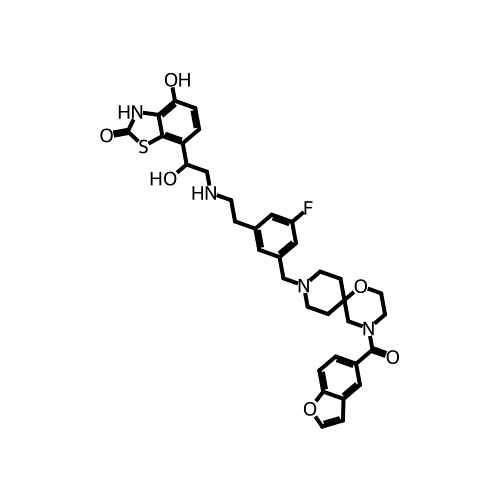 O=C(c1ccc2occc2c1)N1CCOC2(CCN(Cc3cc(F)cc(CCNCC(O)c4ccc(O)c5[nH]c(=O)sc45)c3)CC2)C1